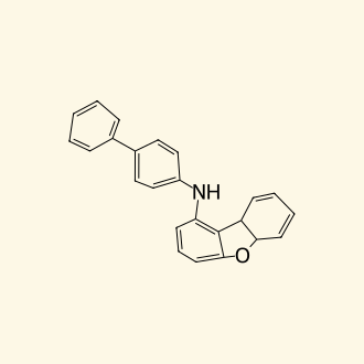 C1=CC2Oc3cccc(Nc4ccc(-c5ccccc5)cc4)c3C2C=C1